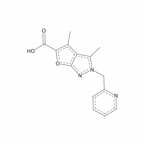 Cc1c(C(=O)O)oc2nn(Cc3ccccn3)c(C)c12